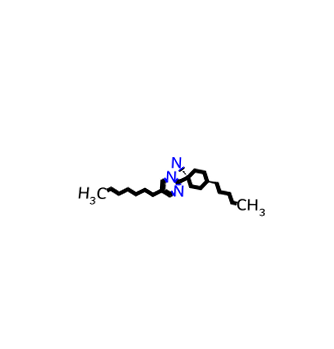 CCCCCCCc1cnc([C@]2(C#N)CC[C@H](CCCCC)CC2)nc1